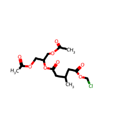 CC(=O)OCC(COC(C)=O)OC(=O)CC(C)CC(=O)OCCl